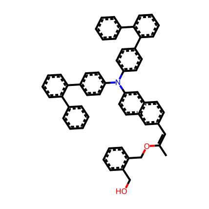 CC(=Cc1ccc2cc(N(c3ccc(-c4ccccc4-c4ccccc4)cc3)c3ccc(-c4ccccc4-c4ccccc4)cc3)ccc2c1)OCc1ccccc1CO